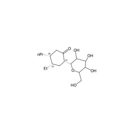 CCC[C@@H]1CC(=O)[C@H](C2OC(CO)C(O)C(O)C2O)C[C@@H]1CC